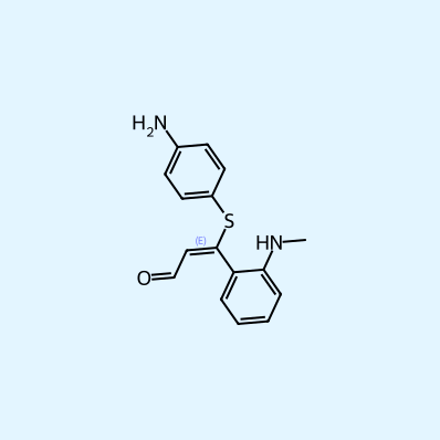 CNc1ccccc1/C(=C\C=O)Sc1ccc(N)cc1